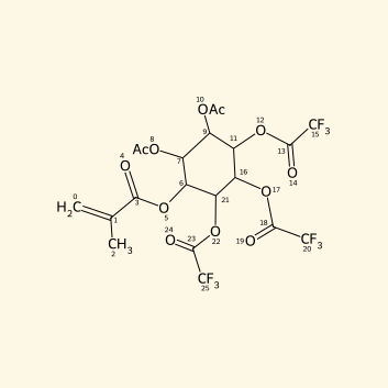 C=C(C)C(=O)OC1C(OC(C)=O)C(OC(C)=O)C(OC(=O)C(F)(F)F)C(OC(=O)C(F)(F)F)C1OC(=O)C(F)(F)F